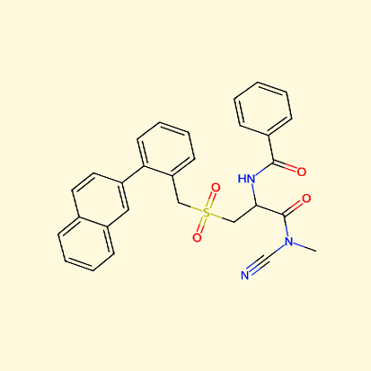 CN(C#N)C(=O)C(CS(=O)(=O)Cc1ccccc1-c1ccc2ccccc2c1)NC(=O)c1ccccc1